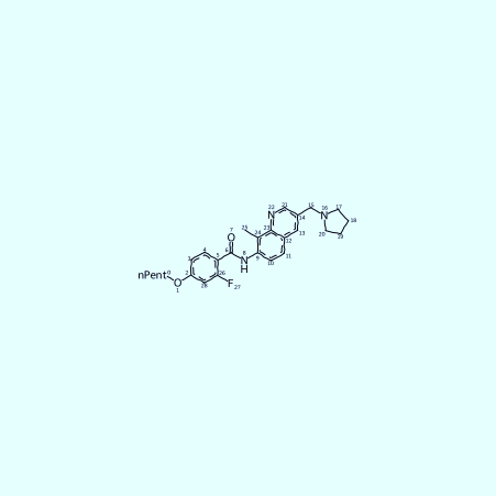 CCCCCOc1ccc(C(=O)Nc2ccc3cc(CN4CCCC4)cnc3c2C)c(F)c1